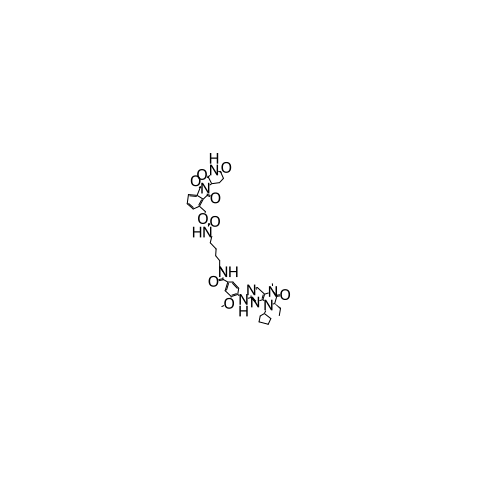 CC[C@@H]1C(=O)N(C)c2cnc(Nc3ccc(C(=O)NCCCCCCNC(=O)OCc4cccc5c4C(=O)N(C4CCC(=O)NC4=O)C5=O)cc3OC)nc2N1C1CCCC1